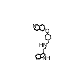 c1ccc2c(CCNCC3CCC(Oc4ccc5cnccc5c4)CC3)c[nH]c2c1